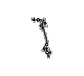 Cc1ncsc1-c1ccc(CNC(=O)[C@@H]2CCCN2C(=O)C(NC(=O)COCCOCCOCCOc2ccc(N3C(=O)N(c4ccc(C#N)c(C(F)(F)F)c4)C(=O)C3(C)C)cc2)C(C)(C)C)cc1